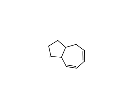 [C]1CCC2CC=CC=CC12